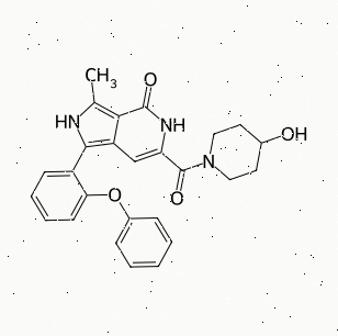 Cc1[nH]c(-c2ccccc2Oc2ccccc2)c2cc(C(=O)N3CCC(O)CC3)[nH]c(=O)c12